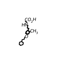 Cc1cc(OCCCC2CCCCC2)ccc1/C=C/CNCCC(=O)O